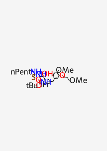 CCCCCNC(=S)NC[C@H](O)[C@H](C[C@H](Cc1ccc(OC)c(OCCCOC)c1)C(C)C)NC(=O)OC(C)(C)C